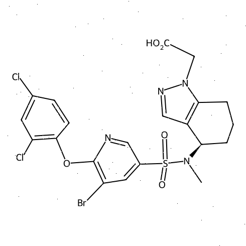 CN([C@@H]1CCCc2c1cnn2CC(=O)O)S(=O)(=O)c1cnc(Oc2ccc(Cl)cc2Cl)c(Br)c1